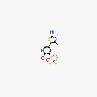 COc1ncc(-c2sc(N)nc2C)cc1S(=O)(=O)C(F)(F)F